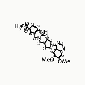 COc1cc2ncnc(N3CCC(CN4Cc5cc(S(C)(=O)=O)ccc5NC4=O)CC3)c2cc1OC